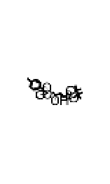 Cc1ccc(S(=O)(=O)OC[C@@H](O)/C=C/B2OC(C)(C)C(C)(C)O2)cc1